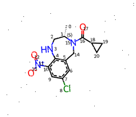 C[C@H]1CNc2c(cc(Cl)cc2[N+](=O)[O-])CN1C(=O)C1CC1